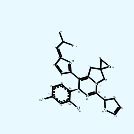 CC(F)/C=C1/C=CC(C2=C3CC4(CO4)CN3C(C3CC=CS3)=N[C@H]2c2ccc(F)cc2Cl)=N1